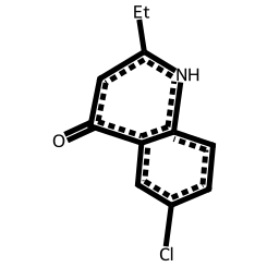 CCc1cc(=O)c2cc(Cl)ccc2[nH]1